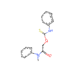 CN(C(=O)COC(=S)Nc1ccccc1)c1ccccc1